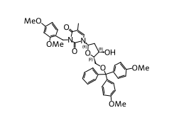 COc1ccc(C(OC[C@H]2O[C@@H](n3cc(C)c(=O)n(Cc4ccc(OC)cc4OC)c3=O)C[C@H]2O)(c2ccccc2)c2ccc(OC)cc2)cc1